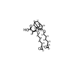 CC(C(=O)O)=C(OCCCCC1CO1)C12CC3CC(CC(OCCCCC4CO4)(C3)C1)C2